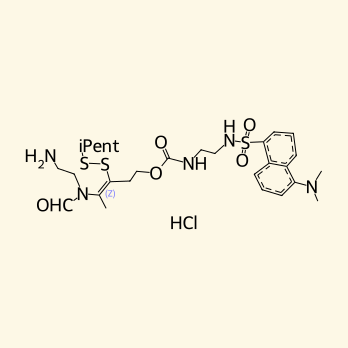 CCCC(C)SS/C(CCOC(=O)NCCNS(=O)(=O)c1cccc2c(N(C)C)cccc12)=C(/C)N(C=O)CCN.Cl